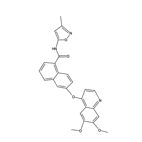 COc1cc2nccc(Oc3ccc4c(C(=O)Nc5cc(C)no5)cccc4c3)c2cc1OC